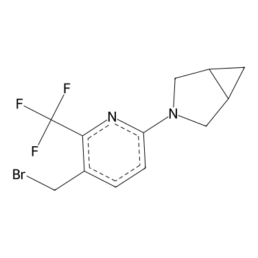 FC(F)(F)c1nc(N2CC3CC3C2)ccc1CBr